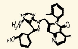 Cc1ccccc1-n1c(Cn2nc(-c3cccc(O)c3)c3c(N)ncnc32)cc2nccc(C)c2c1=O